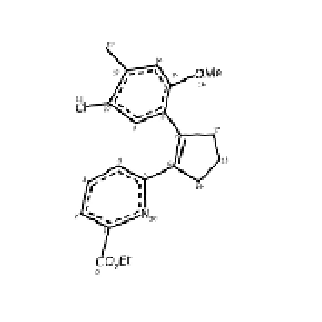 CCOC(=O)c1cccc(C2=C(c3cc(Cl)c(C)cc3OC)CCC2)n1